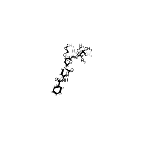 CSCO[C@H]1C[C@H](n2ccc(NC(=O)c3ccccc3)nc2=O)O[C@@H]1CO[Si](C)(C)C(C)(C)C